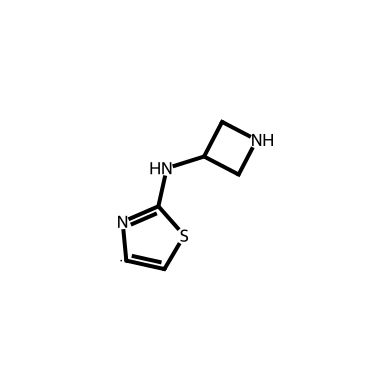 [c]1csc(NC2CNC2)n1